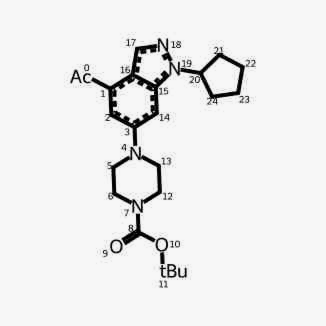 CC(=O)c1cc(N2CCN(C(=O)OC(C)(C)C)CC2)cc2c1cnn2C1CCCC1